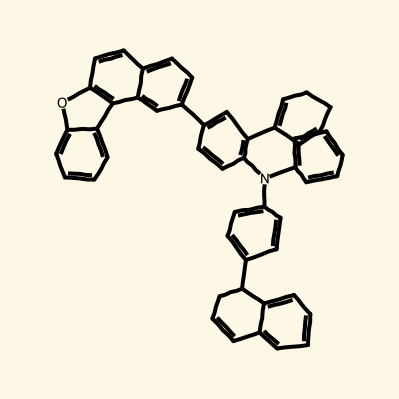 C1=CC(c2cc(-c3ccc4ccc5oc6ccccc6c5c4c3)ccc2N(c2ccccc2)c2ccc(C3CC=Cc4ccccc43)cc2)=CCC1